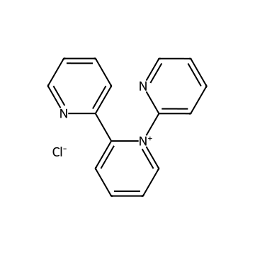 [Cl-].c1ccc(-c2cccc[n+]2-c2ccccn2)nc1